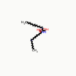 CCCCCCCC/C=C\CCCCCCCCCC(=O)NC(CO)C(O)/C=C\CCCCCCCCCCCCC